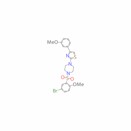 COc1cccc(-c2csc(N3CCN(S(=O)(=O)c4cc(Br)ccc4OC)CC3)n2)c1